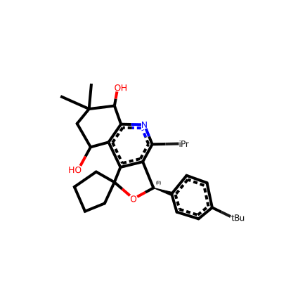 CC(C)c1nc2c(c3c1[C@@H](c1ccc(C(C)(C)C)cc1)OC31CCCC1)C(O)CC(C)(C)C2O